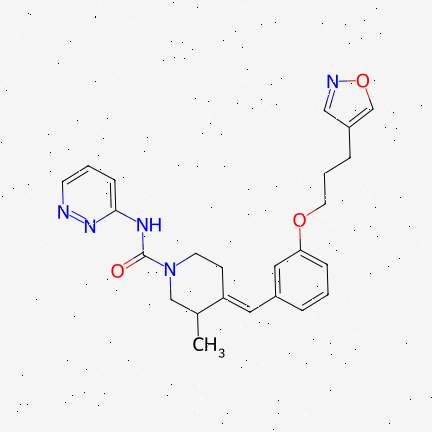 CC1CN(C(=O)Nc2cccnn2)CCC1=Cc1cccc(OCCCc2cnoc2)c1